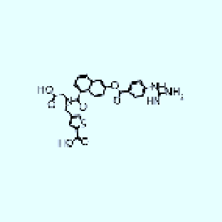 N=C(N)Nc1ccc(C(=O)OC2=CC3C=CC=C(C(=O)N(CC(=O)O)Cc4csc(C(=O)O)c4)C3C=C2)cc1